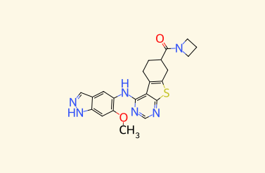 COc1cc2[nH]ncc2cc1Nc1ncnc2sc3c(c12)CCC(C(=O)N1CCC1)C3